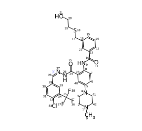 CN1CCN(c2ccc(NC(=O)c3cccc(CSCCO)c3)c(C(=O)N/N=C\c3ccc(Cl)c(C(F)(F)F)c3)c2)CC1